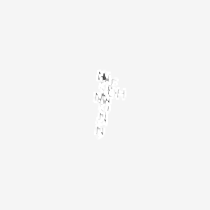 Cn1cc2cc(-c3ncc4cc(N5CCC(N6CCC6)CC5)ccc4n3)c(O)c(F)c2n1